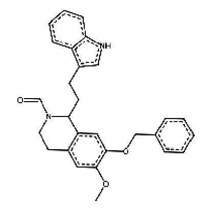 COc1cc2c(cc1OCc1ccccc1)C(CCc1c[nH]c3ccccc13)N([C]=O)CC2